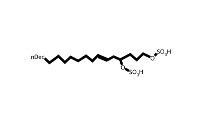 CCCCCCCCCCCCCCCCC/C=C/CC(CCCOS(=O)(=O)O)OS(=O)(=O)O